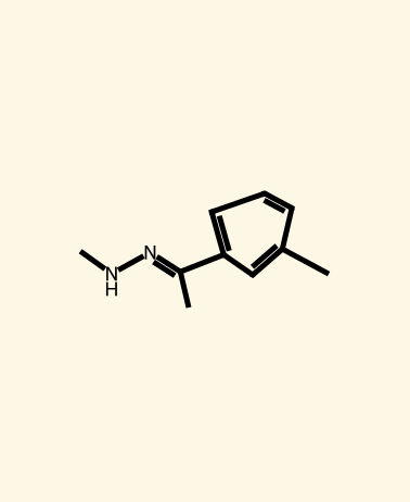 CN/N=C(\C)c1cccc(C)c1